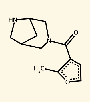 Cc1occc1C(=O)N1CC2CNC(C2)C1